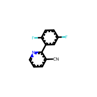 N#Cc1cccnc1-c1cc(F)ccc1F